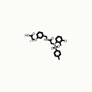 Cc1ccc(S(=O)(=O)N(CC(=O)NCc2cccc(O[C@H](C)C(=O)O)c2)c2cccc(Cl)c2C)cc1